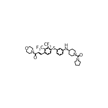 O=C(C=Cc1ccc(Sc2cccc(NC3CCN(C(=O)N4CCCC4)CC3)c2)c(C(F)(F)F)c1C(F)(F)F)N1CCOCC1